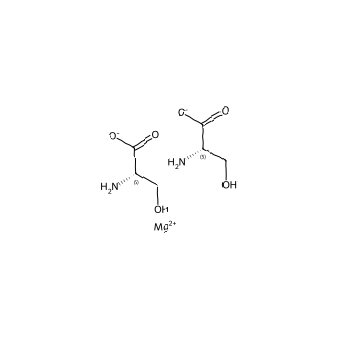 N[C@@H](CO)C(=O)[O-].N[C@@H](CO)C(=O)[O-].[Mg+2]